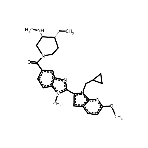 CC[C@@H]1CCN(C(=O)c2ccc3c(c2)nc(-c2cc4ccc(OC)nc4n2CC2CC2)n3C)C[C@@H]1NC